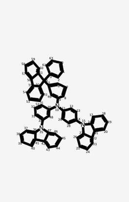 c1ccc(C2(c3cccc(N(c4ccc(-n5c6ccccc6c6ccccc65)cc4)c4cccc(-n5c6ccccc6c6ccccc65)c4)c3)c3ccccc3-c3ccccc32)cc1